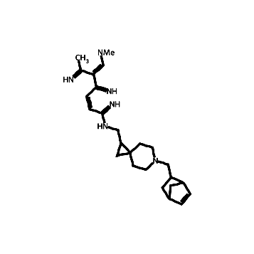 CN/C=C(\C(C)=N)C(=N)/C=C\C(=N)NCC1CC12CCN(CC1CC3C=CC1C3)CC2